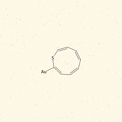 [Au][c]1cccccccs1